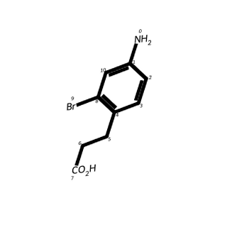 Nc1ccc(CCC(=O)O)c(Br)c1